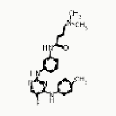 Cc1ccc(Nc2nc(Nc3cccc(NC(=O)/C=C/CN(C)C)c3)ncc2F)cc1